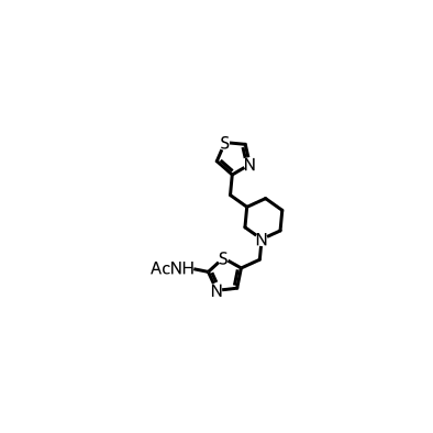 CC(=O)Nc1ncc(CN2CCCC(Cc3cscn3)C2)s1